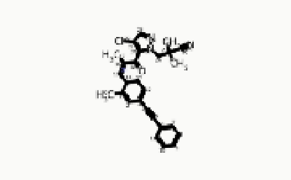 CC1=CC(C#Cc2ccccc2)=CCC1/C=C(/C)C(=O)c1c(Cl)cnn1CC(C)(C)C#N